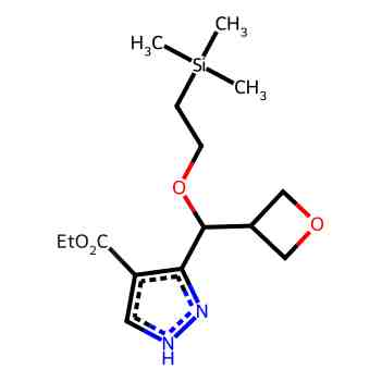 CCOC(=O)c1c[nH]nc1C(OCC[Si](C)(C)C)C1COC1